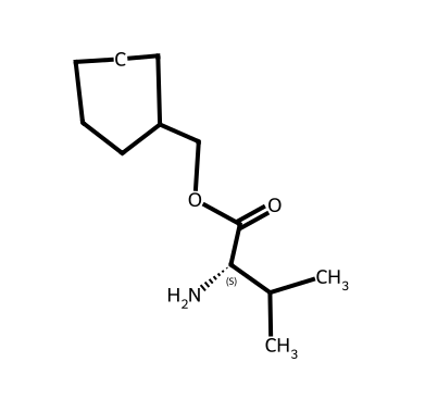 CC(C)[C@H](N)C(=O)OCC1CCCCC1